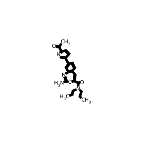 CCCN(CCC)C(=O)C1=Cc2ccc(-c3ccc(C(C)=O)nc3)cc2N=C(N)C1